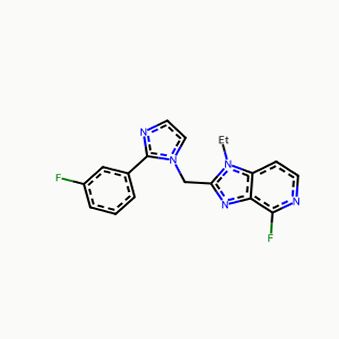 CCn1c(Cn2ccnc2-c2cccc(F)c2)nc2c(F)nccc21